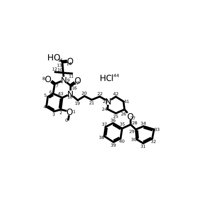 COc1cccc2c(=O)n(C(C)(C)C(=O)O)c(=O)n(CCCCN3CCC(OC(c4ccccc4)c4ccccc4)CC3)c12.Cl